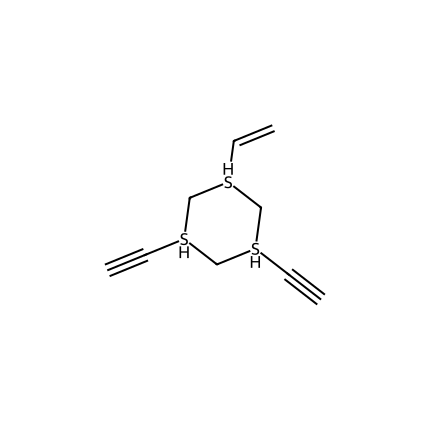 C#C[SH]1C[SH](C#C)C[SH](C=C)C1